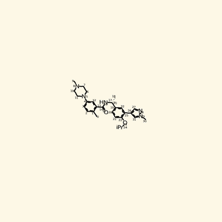 Cc1ccc(N2CCN(C)CC2)cc1C(=O)N[C@H](C)c1ccc(OC(C)C)c(-c2cnn(C)c2)c1